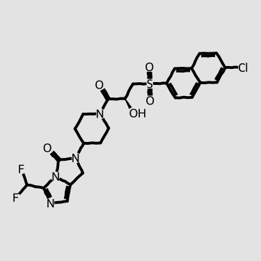 O=C([C@H](O)CS(=O)(=O)c1ccc2cc(Cl)ccc2c1)N1CCC(N2Cc3cnc(C(F)F)n3C2=O)CC1